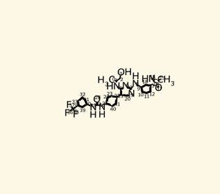 CC(CO)Nc1nc(Nc2cccc(S(C)(=N)=O)c2)ncc1-c1ccc(NC(=O)Nc2cccc(C(F)(F)F)c2)cc1